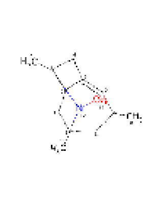 CC1C=C2CC3(C)C2CC(C)(C1)N3O